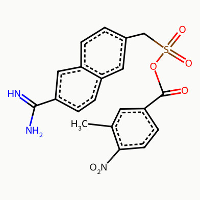 Cc1cc(C(=O)OS(=O)(=O)Cc2ccc3cc(C(=N)N)ccc3c2)ccc1[N+](=O)[O-]